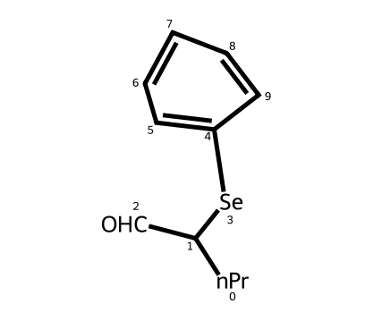 CCCC(C=O)[Se]c1ccccc1